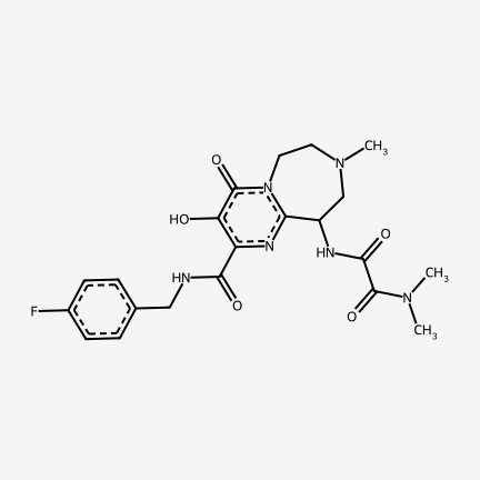 CN1CCn2c(nc(C(=O)NCc3ccc(F)cc3)c(O)c2=O)C(NC(=O)C(=O)N(C)C)C1